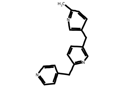 Cc1ccc(Cc2ccc(Cc3ccncc3)nc2)cn1